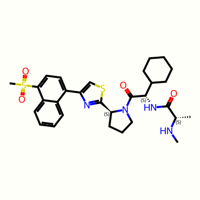 CN[C@@H](C)C(=O)N[C@H](C(=O)N1CCC[C@H]1c1nc(-c2ccc(S(C)(=O)=O)c3ccccc23)cs1)C1CCCCC1